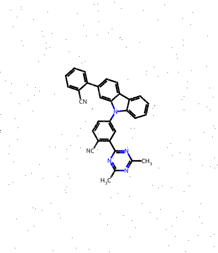 Cc1nc(C)nc(-c2cc(-n3c4ccccc4c4ccc(-c5ccccc5C#N)cc43)ccc2C#N)n1